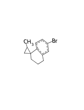 CC1CC12CCCc1cc(Br)ccc12